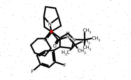 CC(C)(C)NC(=O)C1(C2CCCCC2)CC2CCC(C1)N2C(=O)C1CN(C(C)(C)C)CC1c1ccc(F)cc1F